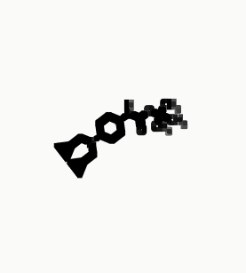 CC(C)(C)OC(=O)N[C@H]1CC[C@H](N(CC2CC2)CC2CC2)CC1